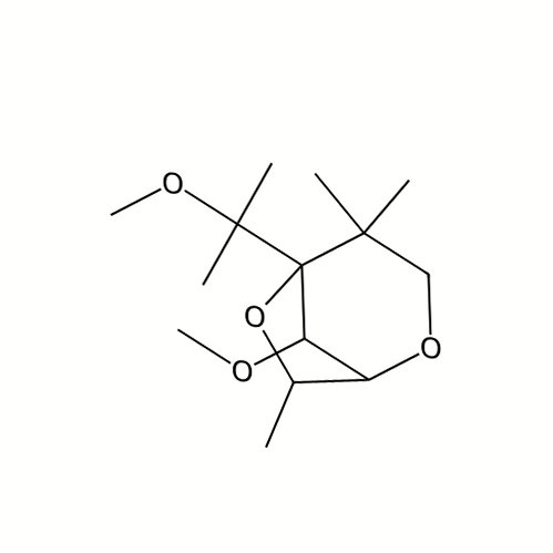 COC1C2OCC(C)(C)C1(C(C)(C)OC)OC2C